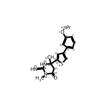 CCCOc1cccc(-c2csc(C3(C)CC(=O)N(C)C(=N)N3)c2)c1